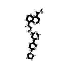 CNC(=O)c1ccnc2c([C@H](C)CNc3cc(-c4ccc(N5CCCC5)nc4)ncn3)cccc12